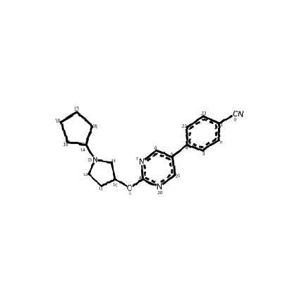 N#Cc1ccc(-c2cnc(OC3CCN(C4CCCC4)C3)nc2)cc1